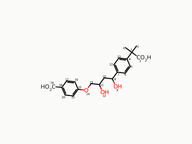 CC(C)(C(=O)O)c1ccc(C(O)CC(O)COc2ccc(C(=O)O)cc2)cc1